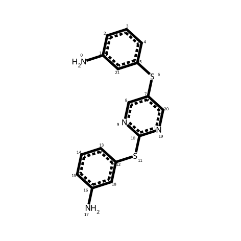 Nc1cccc(Sc2cnc(Sc3cccc(N)c3)nc2)c1